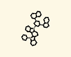 c1ccc(-n2c3ccccc3c3ccc4c(c5ccccc5n4-c4cc(-c5cccc6ccccc56)cc(-c5cccc6ccccc56)c4)c32)cc1